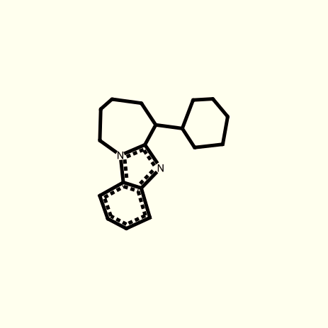 c1ccc2c(c1)nc1n2CCCCC1C1CCCCC1